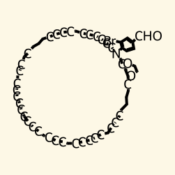 O=Cc1ccc(N2CCCCCCCCCCCCCCCCCCCCCCCCCCCCCCCCCCCCCCCCCCCCCCCCC3(CC2)OCCO3)c(Br)c1